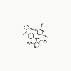 C#Cc1ccc(-c2c(C3=CC[C@@H](C(=O)N4CCC[C@H]4C#C)CC3)c3c(N)ncnc3n2C)c(C)n1